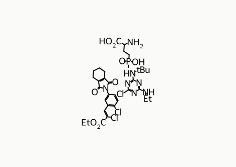 CCNc1nc(Cl)nc(NC(C)(C)C)n1.CCOC(=O)/C(Cl)=C/c1cc(N2C(=O)C3=C(CCCC3)C2=O)ccc1Cl.CP(=O)(O)CCC(N)C(=O)O